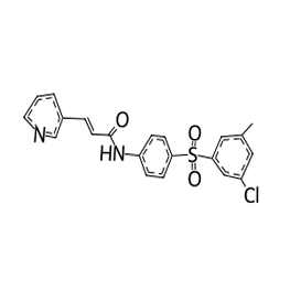 Cc1cc(Cl)cc(S(=O)(=O)c2ccc(NC(=O)C=Cc3cccnc3)cc2)c1